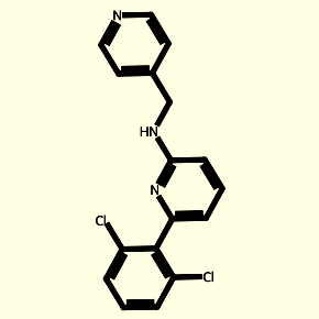 Clc1cccc(Cl)c1-c1cccc(NCc2ccncc2)n1